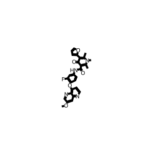 COc1cnc2c(Oc3ccc(NC(=O)c4c(C)n(C)c(C)c(-c5ccco5)c4=O)cc3F)ccnc2c1